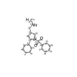 CNCc1cc(-c2ccccc2)n(S(=O)(=O)c2c[c]ccc2)c1